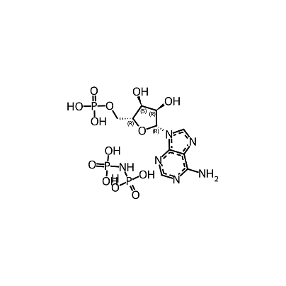 Nc1ncnc2c1ncn2[C@@H]1O[C@H](COP(=O)(O)O)[C@@H](O)[C@H]1O.O=P(O)(O)NP(=O)(O)O